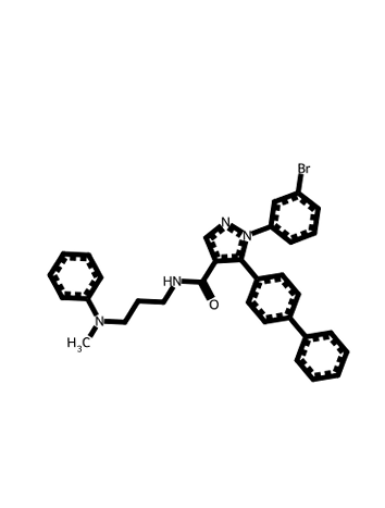 CN(CCCNC(=O)c1cnn(-c2cccc(Br)c2)c1-c1ccc(-c2ccccc2)cc1)c1ccccc1